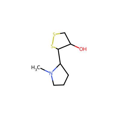 CN1CCCC1C1SSCC1O